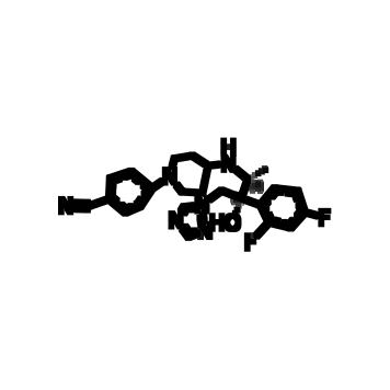 C[C@@H](NC1CCN(c2ccc(C#N)cc2)CC1)[C@](O)(Cn1cncn1)c1ccc(F)cc1F